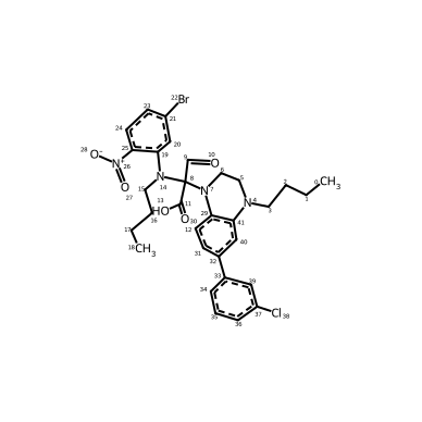 CCCCN1CCN(C(C=O)(C(=O)O)N(CCCC)c2cc(Br)ccc2[N+](=O)[O-])c2ccc(-c3cccc(Cl)c3)cc21